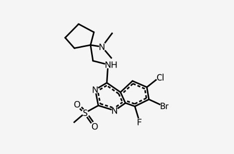 CN(C)C1(CNc2nc(S(C)(=O)=O)nc3c(F)c(Br)c(Cl)cc23)CCCC1